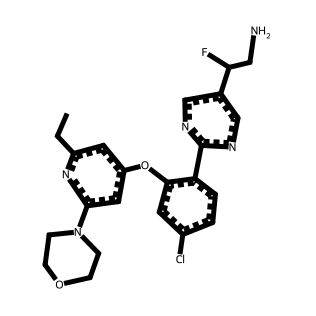 CCc1cc(Oc2cc(Cl)ccc2-c2ncc(C(F)CN)cn2)cc(N2CCOCC2)n1